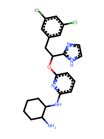 NC1CCCCC1Nc1cccc(OC(Cc2cc(Cl)cc(Cl)c2)c2ncc[nH]2)n1